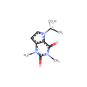 C[C@@H](C(=O)O)n1ccc2c1c(=O)n(C)c(=O)n2C